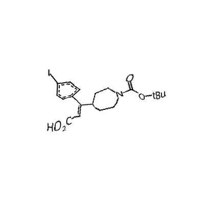 CC(C)(C)OC(=O)N1CCC(/C(=C/C(=O)O)c2ccc(I)cc2)CC1